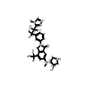 CN(c1cc2c(c(C(F)(F)F)c1)CN(c1cccc(C(C)(F)C(F)(F)c3nncn3C)c1)C2=O)[C@@H]1CNC[C@H]1F